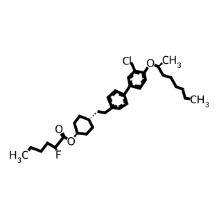 CCCCCC[C@H](C)Oc1ccc(-c2ccc(CC[C@H]3CC[C@H](OC(=O)[C@@H](F)CCCC)CC3)cc2)cc1Cl